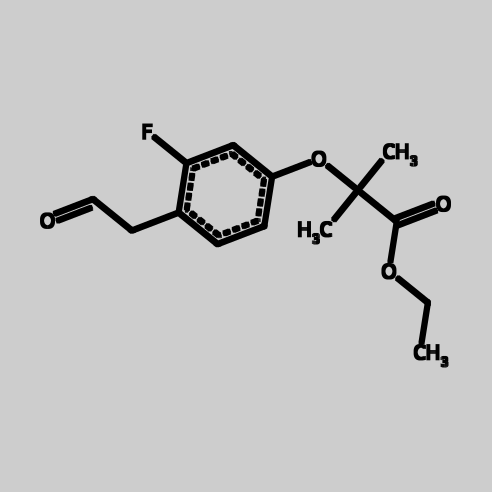 CCOC(=O)C(C)(C)Oc1ccc(CC=O)c(F)c1